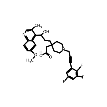 COc1ccc2ncc(C)c(C(O)CCC3(CC(=O)O)CCN(CC#Cc4cc(F)cc(F)c4F)CC3)c2c1